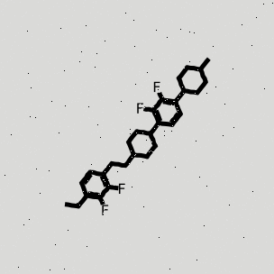 CCc1ccc(CCC2CCC(c3ccc(C4CCC(C)CC4)c(F)c3F)CC2)c(F)c1F